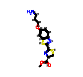 COC(=O)[C@H]1CSC(c2nc3ccc(OCCCN)cc3s2)=N1